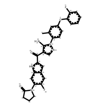 Cc1cc(Oc2ccccc2F)ccc1-n1ncc(C(=O)c2cc3cc(F)c(N4CCCC4=O)cc3[nH]2)c1N